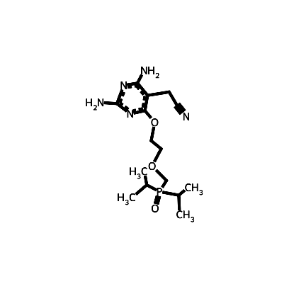 CC(C)P(=O)(COCCOc1nc(N)nc(N)c1CC#N)C(C)C